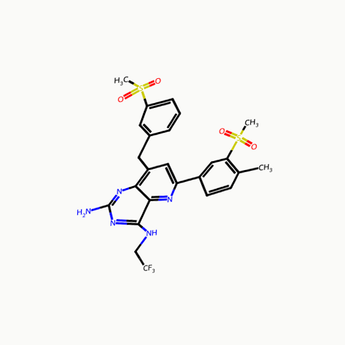 Cc1ccc(-c2cc(Cc3cccc(S(C)(=O)=O)c3)c3nc(N)nc(NCC(F)(F)F)c3n2)cc1S(C)(=O)=O